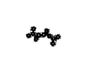 c1ccc(-c2cc(-c3ccccc3)cc(-n3c4ccccc4c4cc(-c5ccc6c(c5)c5ccccc5n6-c5ccc(-c6cc(-c7ccccc7)nc(-c7ccccc7)n6)cc5)ccc43)c2)cc#1